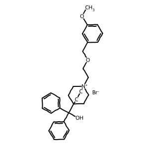 COc1cccc(COCC[N+]23CCC(C(O)(c4ccccc4)c4ccccc4)(CC2)CC3)c1.[Br-]